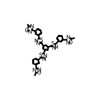 Cc1nc(-c2cccc(-c3nnc(-c4cc(-c5nnc(-c6cccc(-c7noc(C)n7)c6)s5)cc(-c5nnc(-c6cccc(-c7noc(C)n7)c6)s5)c4)s3)c2)no1